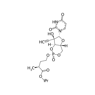 C#C[C@@]1(O)[C@@H]2O[P@@](=O)(OCC[C@H](C)C(=O)OC(C)C)OC[C@H]2O[C@H]1n1ccc(=O)[nH]c1=O